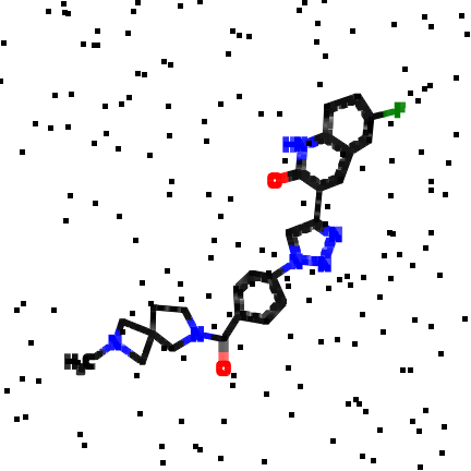 CN1CC2(CCN(C(=O)c3ccc(-n4cc(-c5cc6cc(F)ccc6[nH]c5=O)nn4)cc3)C2)C1